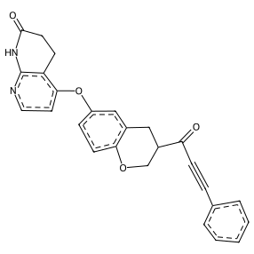 O=C1CCc2c(Oc3ccc4c(c3)CC(C(=O)C#Cc3ccccc3)CO4)ccnc2N1